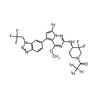 [2H]c1cc(-c2ccc3nnn(CC(F)(F)F)c3c2)c2c(OC)nc(N[C@@H]3CCN(C(=O)C([2H])([2H])[2H])CC3(F)F)nn12